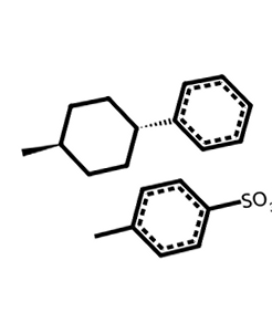 C[C@H]1CC[C@H](c2ccccc2)CC1.Cc1ccc(S(=O)(=O)O)cc1